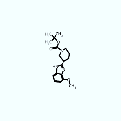 COc1cccc2[nH]c([C@@H]3CCCN(C(=O)OC(C)(C)C)C3)nc12